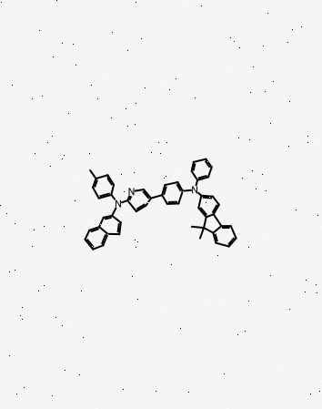 Cc1ccc(N(c2ccc3ccccc3c2)c2ccc(-c3ccc(N(c4ccccc4)c4ccc5c(c4)C(C)(C)c4ccccc4-5)cc3)cn2)cc1